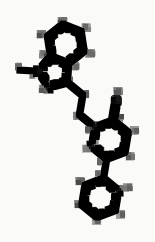 Cn1nc(CCn2nc(-c3ccccn3)ccc2=O)c2ccccc21